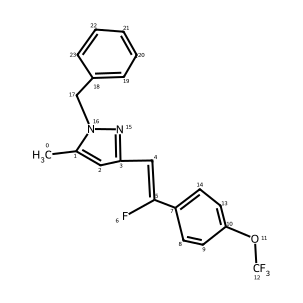 Cc1cc(/C=C(\F)c2ccc(OC(F)(F)F)cc2)nn1Cc1c[c]ccc1